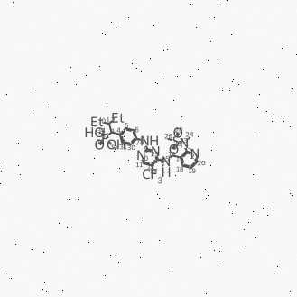 CCC(CC)C(c1ccc(Nc2ncc(C(F)(F)F)c(NCc3cccnc3N(C)S(C)(=O)=O)n2)cc1)P(=O)(O)O